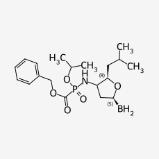 B[C@H]1CC(NP(=O)(OC(C)C)C(=O)OCc2ccccc2)[C@@H](CC(C)C)O1